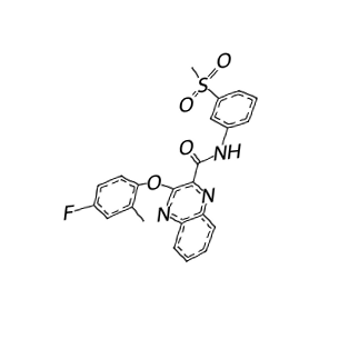 Cc1cc(F)ccc1Oc1nc2ccccc2nc1C(=O)Nc1cccc(S(C)(=O)=O)c1